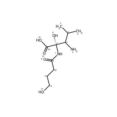 CC(C)C(N)[C@@](O)(NC(=O)CCCO)C(=O)O